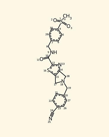 CS(=O)(=O)c1ccc(CNC(=O)c2nc3c(s2)CN(Cc2ccc(C#N)cc2)C3)cc1